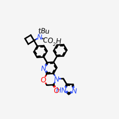 CC(C)(C)N(C(=O)O)C1(c2ccc(-c3nc4c(cc3-c3ccccc3)N(Cc3cnc[nH]3)C(=O)CO4)cc2)CCC1